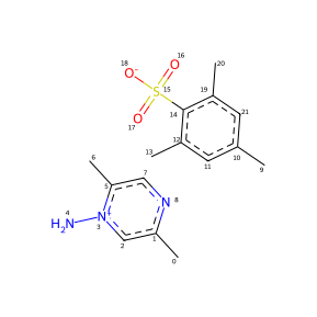 Cc1c[n+](N)c(C)cn1.Cc1cc(C)c(S(=O)(=O)[O-])c(C)c1